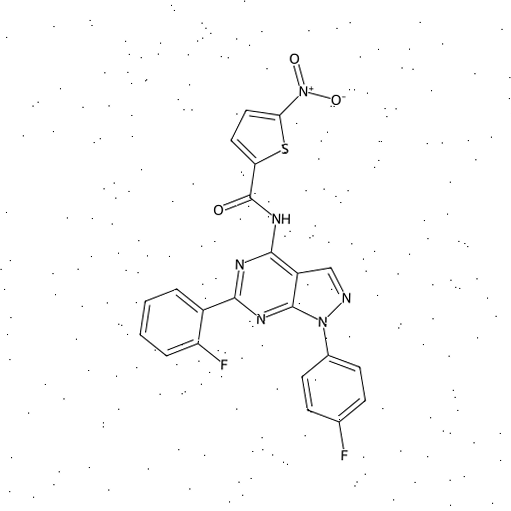 O=C(Nc1nc(-c2ccccc2F)nc2c1cnn2-c1ccc(F)cc1)c1ccc([N+](=O)[O-])s1